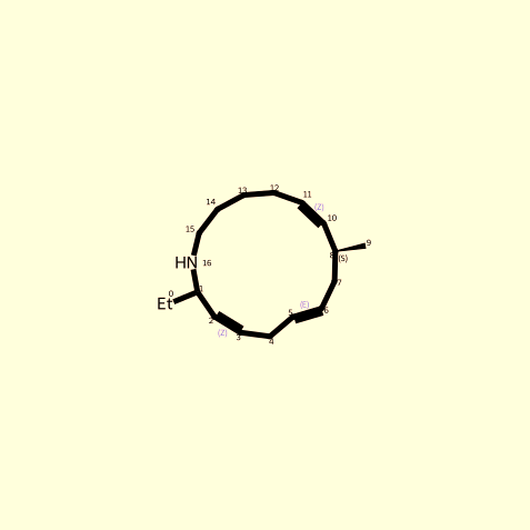 CCC1/C=C\C/C=C/C[C@H](C)/C=C\CCCCN1